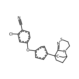 N#Cc1ccc(Oc2ccc(C34CCC(CC3)N3CCSN=C34)cc2)cc1Cl